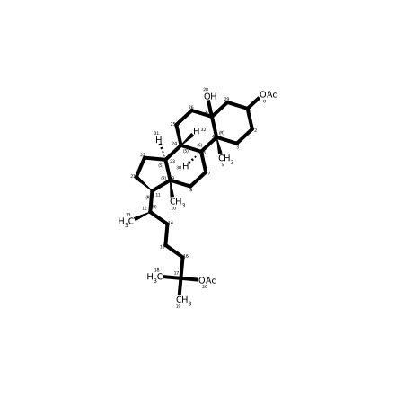 CC(=O)OC1CC[C@]2(C)[C@H]3CC[C@]4(C)[C@@H]([C@H](C)CCCC(C)(C)OC(C)=O)CC[C@H]4[C@@H]3CCC2(O)C1